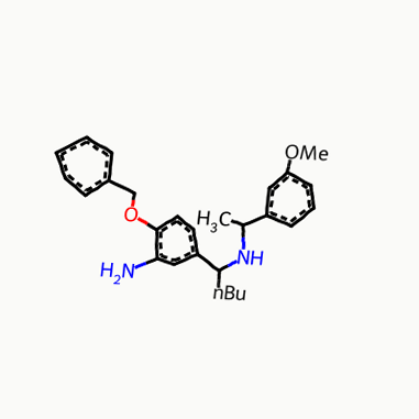 CCCCC(NC(C)c1cccc(OC)c1)c1ccc(OCc2ccccc2)c(N)c1